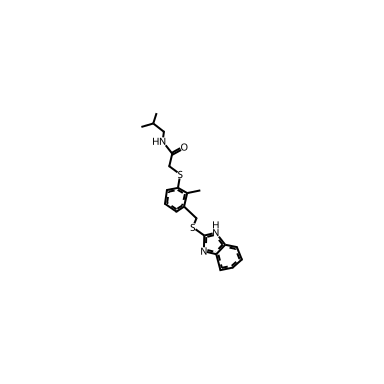 Cc1c(CSc2nc3ccccc3[nH]2)cccc1SCC(=O)NCC(C)C